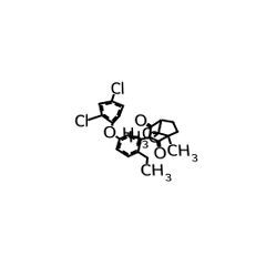 CCc1ccc(Oc2ccc(Cl)cc2Cl)cc1C1C(=O)C2CCC(C)(C1=O)C2(C)C